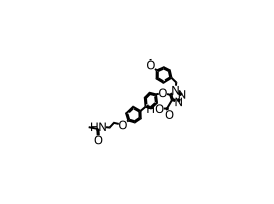 COc1ccc(Cn2nnc(C(=O)O)c2Oc2ccc(-c3ccc(OCCNC(C)=O)cc3)cc2)cc1